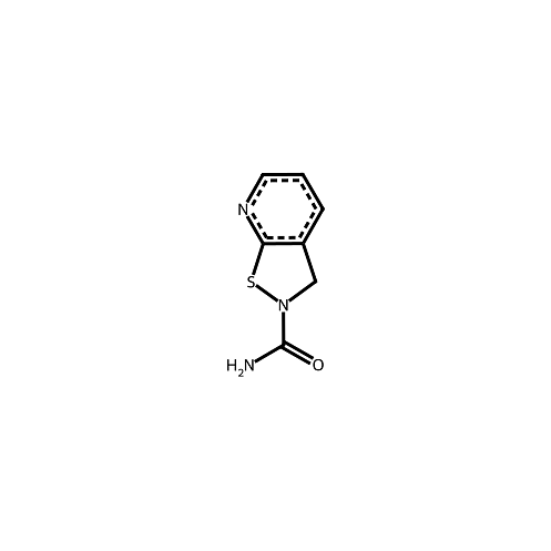 NC(=O)N1Cc2cccnc2S1